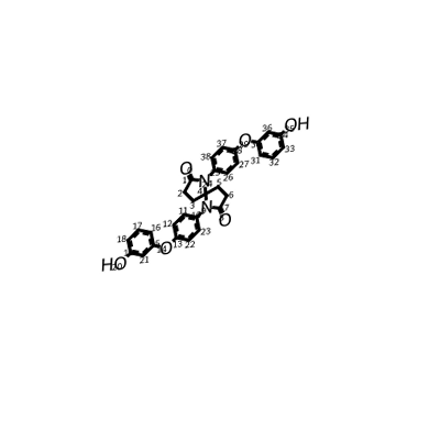 O=C1CCC2(CCC(=O)N2c2ccc(Oc3cccc(O)c3)cc2)N1c1ccc(Oc2cccc(O)c2)cc1